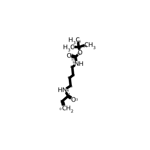 C=CC(=O)NCCCCNC(=O)OC(C)(C)C